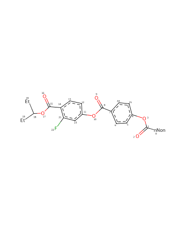 CCCCCCCCCC(=O)Oc1ccc(C(=O)Oc2ccc(C(=O)OC(CC)CC)c(F)c2)cc1